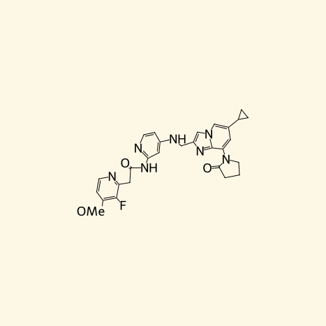 COc1ccnc(CC(=O)Nc2cc(NCc3cn4cc(C5CC5)cc(N5CCCC5=O)c4n3)ccn2)c1F